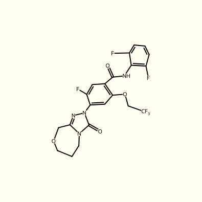 O=C(Nc1c(F)cccc1F)c1cc(F)c(-n2nc3n(c2=O)CCCOC3)cc1OCC(F)(F)F